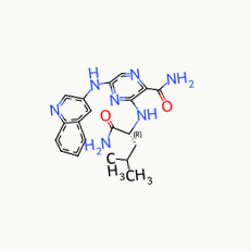 CC(C)C[C@@H](Nc1nc(Nc2cnc3ccccc3c2)cnc1C(N)=O)C(N)=O